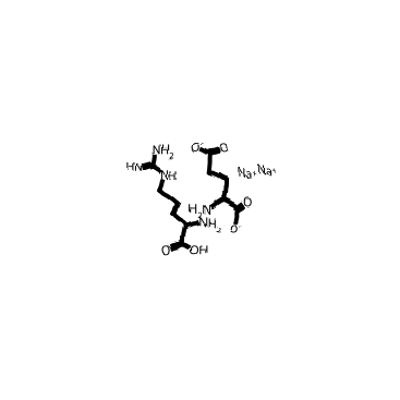 N=C(N)NCCCC(N)C(=O)O.NC(CCC(=O)[O-])C(=O)[O-].[Na+].[Na+]